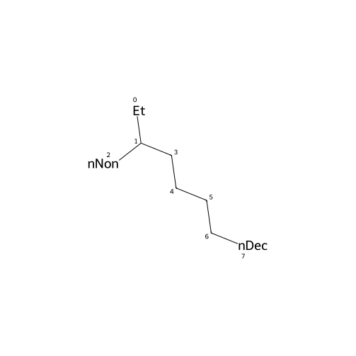 [CH2]CC(CCCCCCCCC)CCCCCCCCCCCCCC